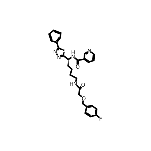 O=C(COCc1ccc(F)cc1)NCCCC[C@H](NC(=O)c1cccnc1)c1nnc(-c2ccccc2)s1